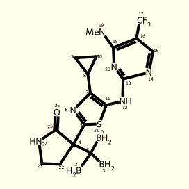 BC(B)(B)C1(c2nc(C3CC3)c(Nc3ncc(C(F)(F)F)c(NC)n3)s2)CCNC1=O